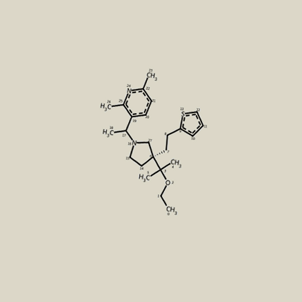 CCOC(C)(C)[C@@]1(CCc2cccs2)CCN(C(C)c2ccc(C)nc2C)C1